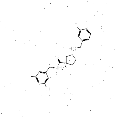 CC(C)[C@]1(C(=O)NCc2cc(C(F)(F)F)cc(C(F)(F)F)c2)CC[C@@H](NCc2cccc(F)c2)C1